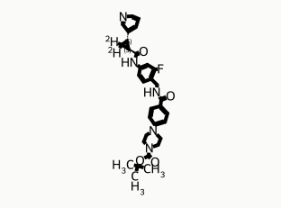 [2H]C1([2H])[C@H](C(=O)Nc2ccc(CNC(=O)c3ccc(N4CCN(C(=O)OC(C)(C)C)CC4)cc3)c(F)c2)[C@H]1c1cccnc1